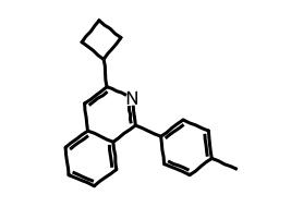 Cc1ccc(-c2nc(C3CCC3)cc3ccccc23)cc1